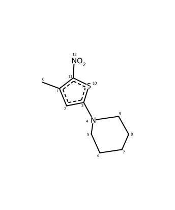 Cc1cc(N2CCCCC2)sc1[N+](=O)[O-]